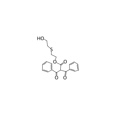 O=C(OCCSCCO)C(C(=O)c1ccccc1)C(=O)c1ccccc1